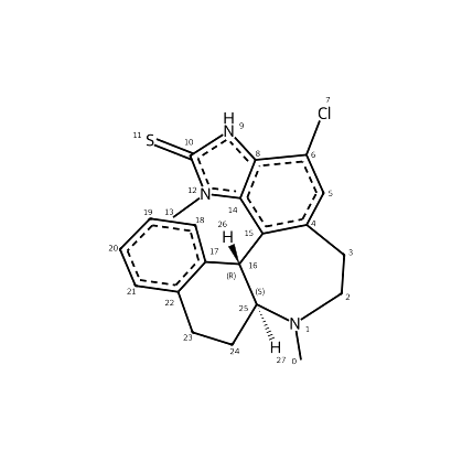 CN1CCc2cc(Cl)c3[nH]c(=S)n(C)c3c2[C@H]2c3ccccc3CC[C@@H]21